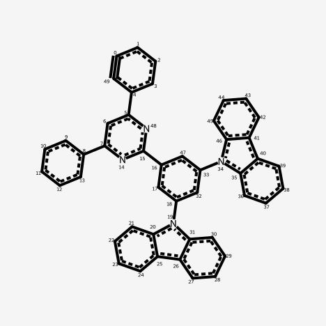 c1cccc(-c2cc(-c3ccccc3)nc(-c3cc(-n4c5ccccc5c5ccccc54)cc(-n4c5ccccc5c5ccccc54)c3)n2)c#1